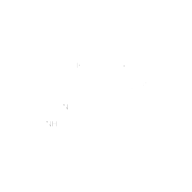 Cl.Nc1cccc(C=Cc2ccc(Cl)c(Cl)c2)n1